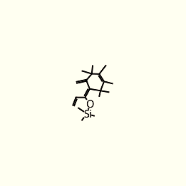 C=CC(O[Si](C)(C)C)=C1C(=C)C(C)(C)C(C)=C(C)C1(C)C